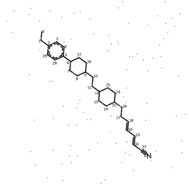 CCc1ccc(C2CCC(CCC3CCC(CCC=CC=CC#N)CC3)CC2)cc1